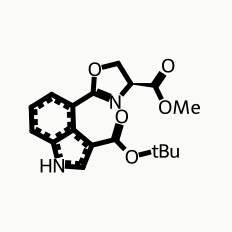 COC(=O)[C@@H]1COC(c2cccc3[nH]cc(C(=O)OC(C)(C)C)c23)=N1